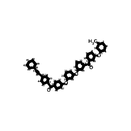 Cc1cccc(Oc2cccc(C(=O)c3cccc(Oc4cccc(Oc5ccc(C(=O)c6ccc(C#Cc7ccccc7)cc6)cc5)c4)c3)c2)c1